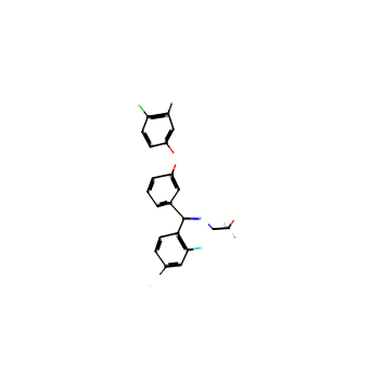 CCc1cc(Oc2cccc(C(NC[C@@H](O)C(F)(F)F)c3ccc(C(F)(F)F)cc3F)c2)ccc1Cl